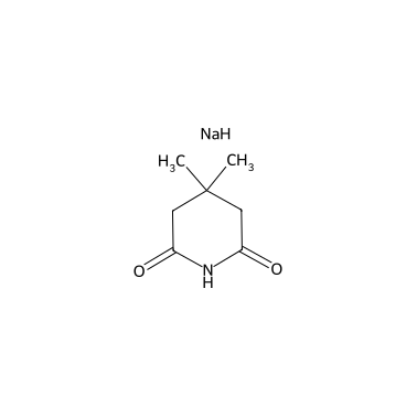 CC1(C)CC(=O)NC(=O)C1.[NaH]